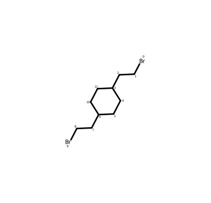 BrCCC1CCC(CCBr)CC1